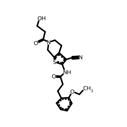 CCOc1ccccc1CCC(=O)Nc1sc2c(c1C#N)CCN(C(=O)CCO)C2